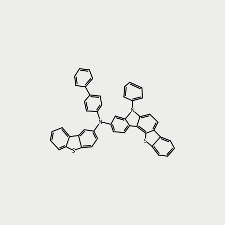 c1ccc(-c2ccc(N(c3ccc4sc5ccccc5c4c3)c3ccc4c5c6sc7ccccc7c6ccc5n(-c5ccccc5)c4c3)cc2)cc1